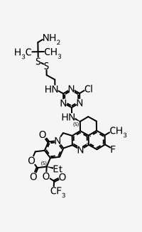 CC[C@@]1(OC(=O)C(F)(F)F)C(=O)OCc2c1cc1n(c2=O)Cc2c-1nc1cc(F)c(C)c3c1c2[C@@H](Nc1nc(Cl)nc(NCCSSC(C)(C)CN)n1)CC3